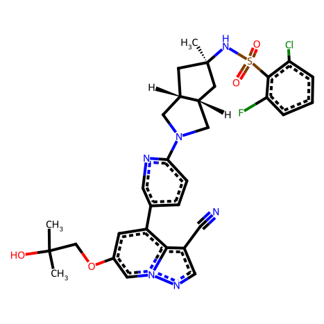 CC(C)(O)COc1cc(-c2ccc(N3C[C@@H]4C[C@@](C)(NS(=O)(=O)c5c(F)cccc5Cl)C[C@@H]4C3)nc2)c2c(C#N)cnn2c1